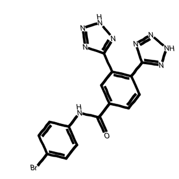 O=C(Nc1ccc(Br)cc1)c1ccc(-c2nn[nH]n2)c(-c2nn[nH]n2)c1